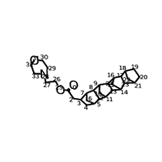 O=C(CC1CC2CC1C1C3CC(C21)C1C2CC(C4C5CCC(C5)C24)C31)OCCN1CCOCC1